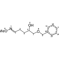 CON=CCCC(O)COCc1ccccc1